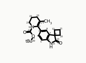 CC1=C(c2ccc3c(c2)C2(CCC2)C(=O)N3)N(C(=O)OC(C)(C)C)CCC1